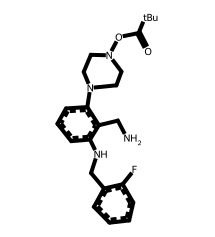 CC(C)(C)C(=O)ON1CCN(c2cccc(NCc3ccccc3F)c2CN)CC1